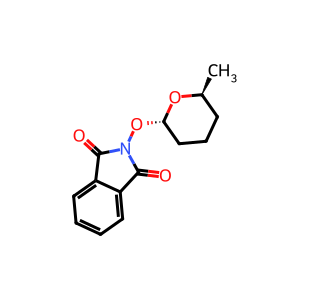 C[C@H]1CCC[C@H](ON2C(=O)c3ccccc3C2=O)O1